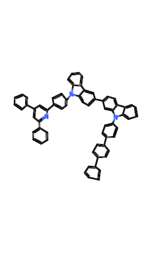 c1ccc(-c2ccc(-c3ccc(-n4c5ccccc5c5ccc(-c6ccc7c(c6)c6ccccc6n7-c6ccc(-c7cc(-c8ccccc8)cc(-c8ccccc8)n7)cc6)cc54)cc3)cc2)cc1